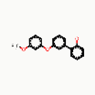 [O]c1ccccc1-c1cccc(Oc2cccc(OC(F)(F)F)c2)c1